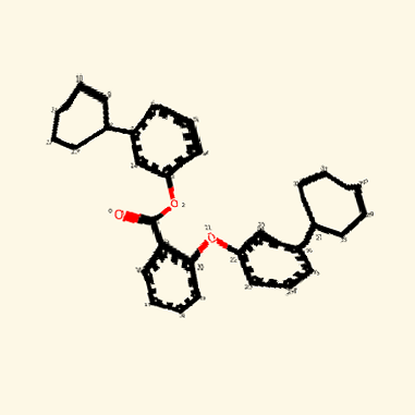 O=C(Oc1cccc(C2CCCCC2)c1)c1ccccc1Oc1cccc(C2CCCCC2)c1